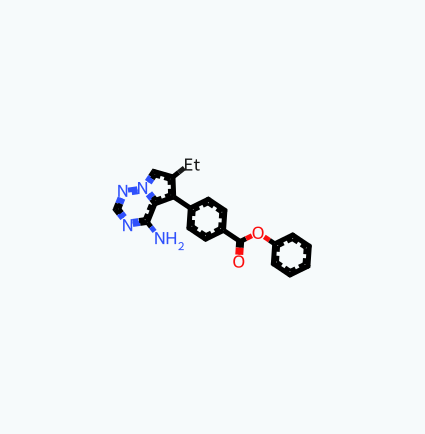 [CH2]Cc1cn2ncnc(N)c2c1-c1ccc(C(=O)Oc2ccccc2)cc1